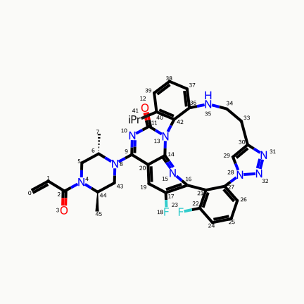 C=CC(=O)N1C[C@H](C)N(c2nc(=O)n3c4nc(c(F)cc24)-c2c(F)cccc2-n2cc(nn2)CCNc2cccc(C(C)C)c2-3)C[C@H]1C